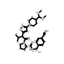 COC(OC)C1CCN(c2cc(C(C(=O)N3CCC[C@H]3C(=O)N[C@@H](C)c3ccc(C#N)cc3)C(C)C)on2)CC1